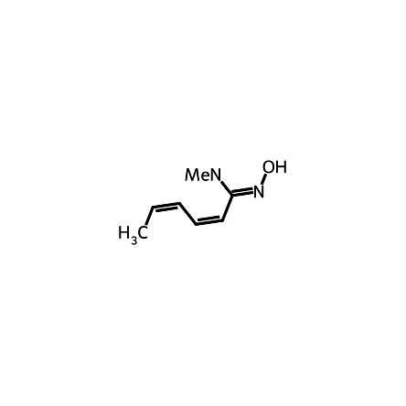 C\C=C/C=C\C(=N\O)NC